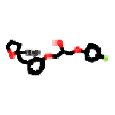 O=C(O)C1(Cc2cccc(OCC(O)COc3ccc(F)cc3)c2)CCCO1